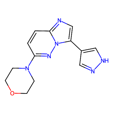 c1n[nH]cc1-c1cnc2ccc(N3CCOCC3)nn12